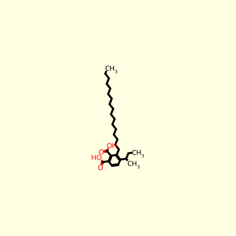 CCCCCCCCCCCCCCCCCc1c(C(C)CC)ccc(C(=O)O)c1C(=O)O